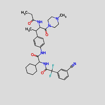 CCC(=O)NC(C(=O)N1CCN(C)CC1)C(C)c1ccc(NC(=O)C(NC(=O)C(F)(F)c2cccc(C#N)c2)C2CCCCC2)cc1